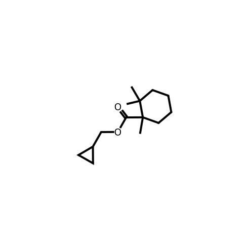 CC1(C)CCCCC1(C)C(=O)OCC1CC1